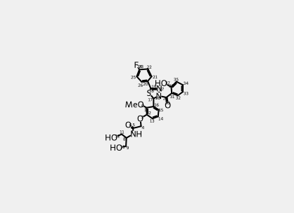 COc1c(OCC(=O)NC(CO)CO)cccc1C1SC(c2ccc(F)cc2)=NN1C(=O)c1ccccc1O